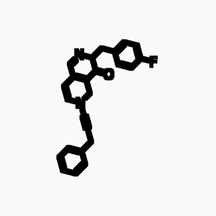 O=C1C2=C(C=CN(C#CCc3ccccc3)C2)C=NC1Cc1ccc(F)cc1